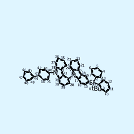 CC(C)(C)[Si](c1ccccc1)(c1ccccc1)c1ccc2c(c1)c1ccccc1n2-c1cccc2c1c1ccccc1n2-c1ccc(-c2ccccc2)cc1